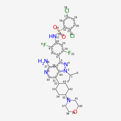 CC(C)n1nc(-c2cc(F)c(NS(=O)(=O)c3cc(Cl)ccc3Cl)cc2F)c2c(N)ncc(C3CCC(N4CCOCC4)CC3)c21